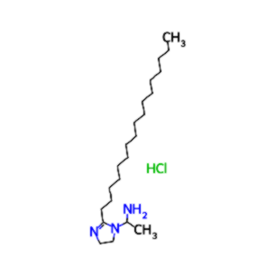 CCCCCCCCCCCCCCCCCC1=NCCN1C(C)N.Cl